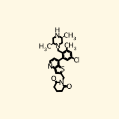 Cc1cc(Cl)cc(-c2ccnc3cc(CN4C(=O)CCCC4=O)sc23)c1CN1C[C@@H](C)NC[C@@H]1C